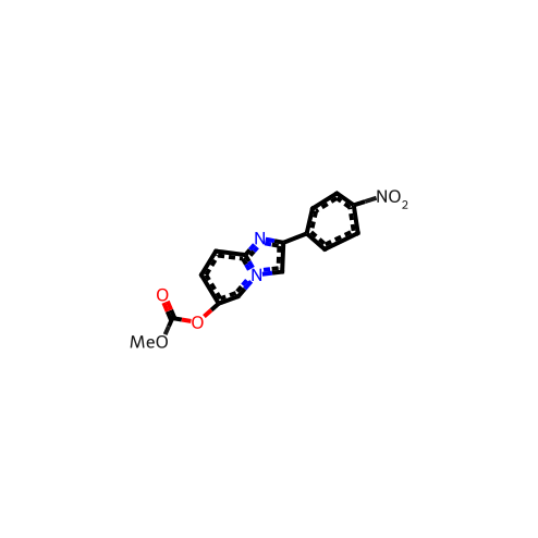 COC(=O)Oc1ccc2nc(-c3ccc([N+](=O)[O-])cc3)cn2c1